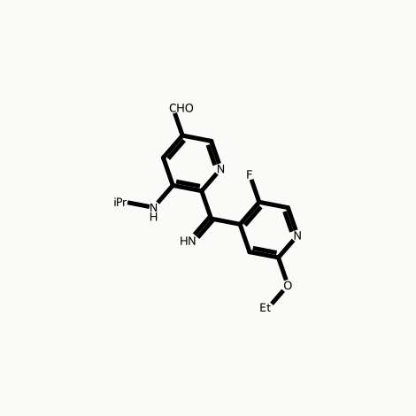 CCOc1cc(C(=N)c2ncc(C=O)cc2NC(C)C)c(F)cn1